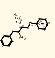 Cl.Cl.N[C@@H](Cc1ccccc1)[C@H](O)CNC12CCC(CC1)CC2